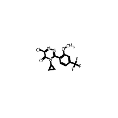 COc1cc(C(F)(F)F)ccc1-c1nnc(Cl)c(=O)n1C1CC1